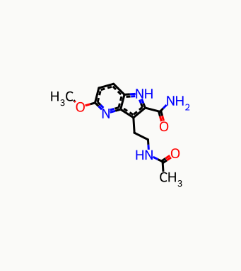 COc1ccc2[nH]c(C(N)=O)c(CCNC(C)=O)c2n1